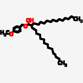 CCCCCCCCCCCCCCCC(CCCCCCCCCCCCCC)[C@H](O)OCc1ccc(OC)cc1